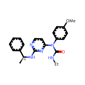 CCNC(=O)N(c1ccc(OC)cc1)c1ccnc(N[C@@H](C)c2ccccc2)n1